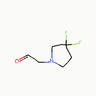 O=CCN1CCC(F)(F)C1